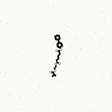 C=C(C)C(=O)OCCOC(=O)CCCCC(=O)Oc1ccc(-c2ccccc2)cc1